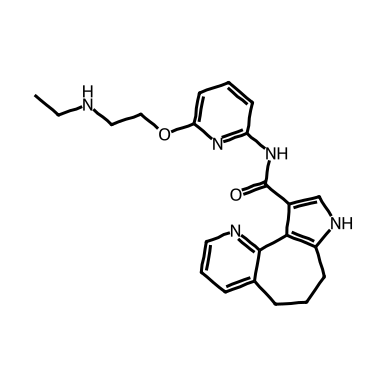 CCNCCOc1cccc(NC(=O)c2c[nH]c3c2-c2ncccc2CCC3)n1